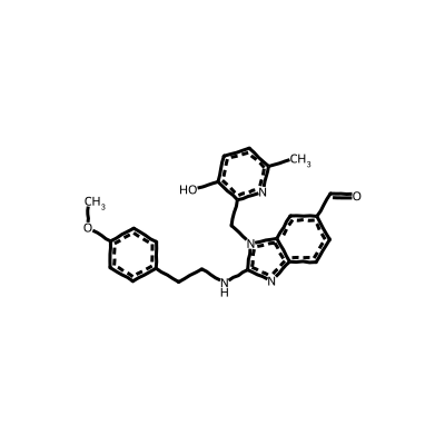 COc1ccc(CCNc2nc3ccc(C=O)cc3n2Cc2nc(C)ccc2O)cc1